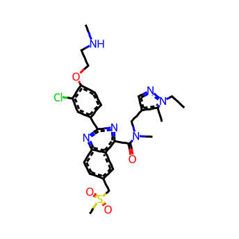 CCn1ncc(CN(C)C(=O)c2nc(-c3ccc(OCCNC)c(Cl)c3)nc3ccc(CS(C)(=O)=O)cc23)c1C